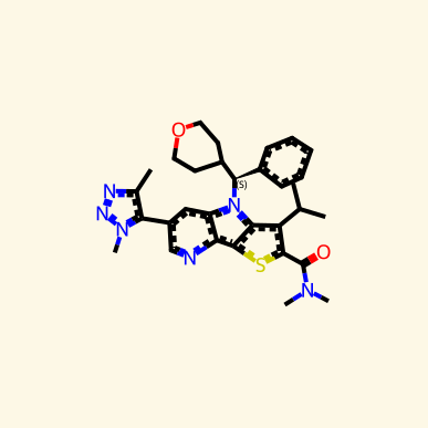 Cc1nnn(C)c1-c1cnc2c3sc(C(=O)N(C)C)c(C(C)C)c3n([C@H](c3ccccc3)C3CCOCC3)c2c1